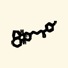 O=C(CCCN1CC[C@@H]2[C@H](C1)c1cccc3c1N2CCCS3)c1ccc(F)cc1